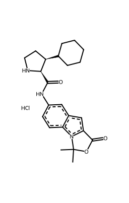 CC1(C)OC(=O)c2cc3cc(NC(=O)[C@H]4NCC[C@H]4C4CCCCC4)ccc3n21.Cl